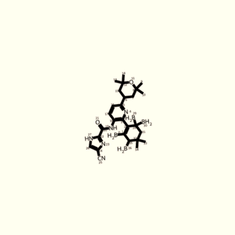 BC1=C(c2nc(C3CC(C)(C)OC(C)(C)C3)ccc2NC(=O)c2nc(C#N)c[nH]2)C(B)(B)CC(C)(C)C1B